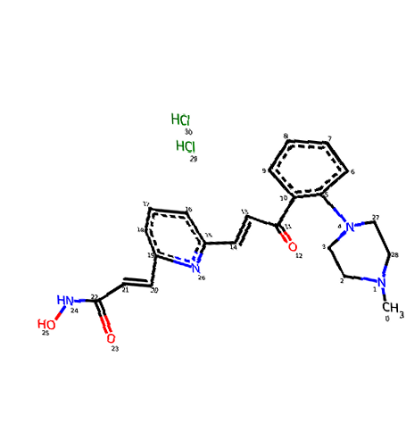 CN1CCN(c2ccccc2C(=O)C=Cc2cccc(C=CC(=O)NO)n2)CC1.Cl.Cl